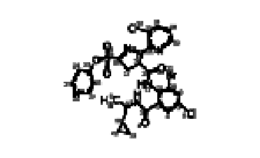 CC(NC(=O)c1cc(Cl)cc(Br)c1NC(=O)C1CC(S(=O)(=O)Oc2ccncc2)=NN1c1ncccc1Cl)C1CC1